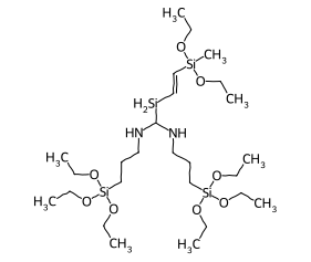 CCO[Si](C)(C=C[SiH2]C(NCCC[Si](OCC)(OCC)OCC)NCCC[Si](OCC)(OCC)OCC)OCC